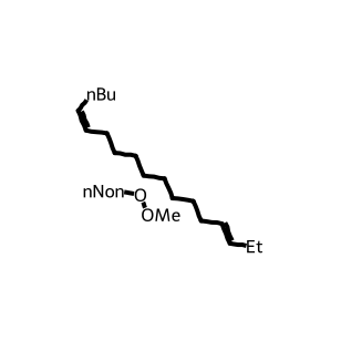 CC/C=C/CCCCCCCC/C=C\CCCC.CCCCCCCCCOOC